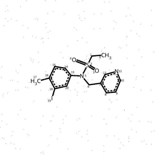 CCS(=O)(=O)N(Cc1cccnc1)c1ccc(C)c(I)c1